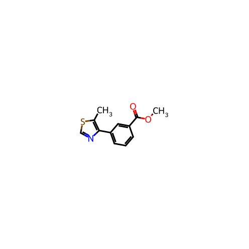 COC(=O)c1cccc(-c2ncsc2C)c1